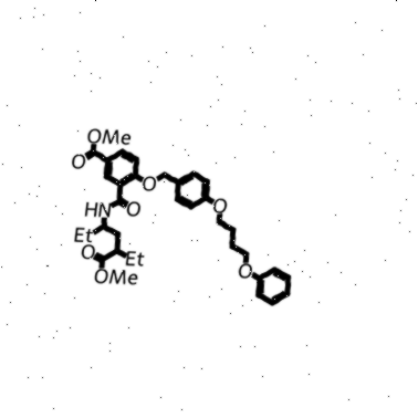 CCC(CC(CC)C(=O)OC)NC(=O)c1cc(C(=O)OC)ccc1OCc1ccc(OCCCCOc2ccccc2)cc1